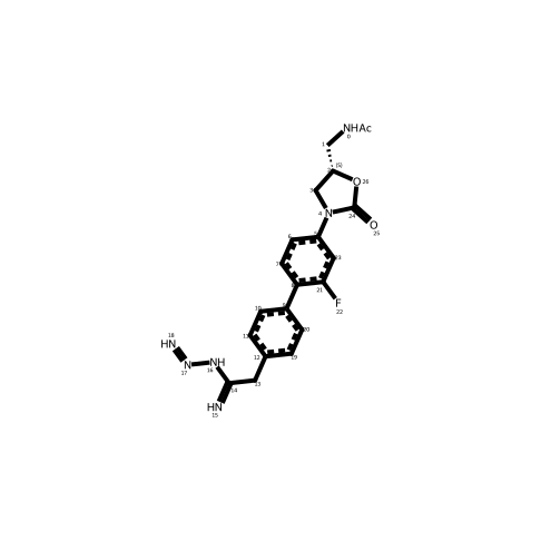 CC(=O)NC[C@H]1CN(c2ccc(-c3ccc(CC(=N)NN=N)cc3)c(F)c2)C(=O)O1